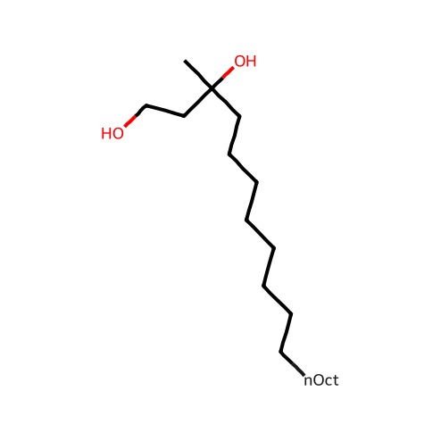 CCCCCCCCCCCCCCCCC(C)(O)CCO